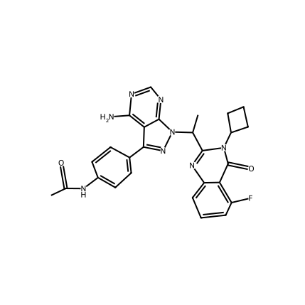 CC(=O)Nc1ccc(-c2nn(C(C)c3nc4cccc(F)c4c(=O)n3C3CCC3)c3ncnc(N)c23)cc1